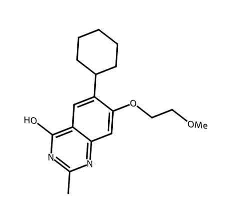 COCCOc1cc2nc(C)nc(O)c2cc1C1CCCCC1